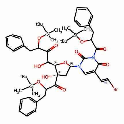 CC(C)(C)[Si](C)(C)OC(Cc1ccccc1)C(=O)C(O)[C@H]1O[C@@H](n2cc(/C=C/Br)c(=O)n(C(=O)C(Cc3ccccc3)O[Si](C)(C)C(C)(C)C)c2=O)C[C@@]1(O)C(=O)C(Cc1ccccc1)O[Si](C)(C)C(C)(C)C